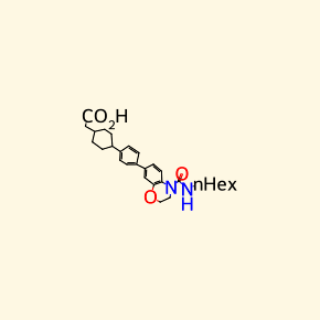 CCCCCCNC(=O)N1CCOc2cc(-c3ccc(C4CCC(CC(=O)O)CC4)cc3)ccc21